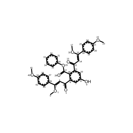 COC(=CC(=O)c1cc(O)cc(C(=O)C=C(OC)c2ccc(OC)cc2)c1C(=O)Oc1ccccc1)c1ccc(OC)cc1